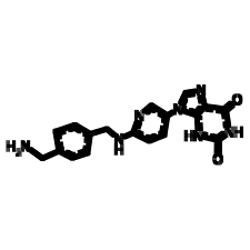 NCc1ccc(CNc2ccc(-n3cnc4c(=O)[nH]c(=O)[nH]c43)cn2)cc1